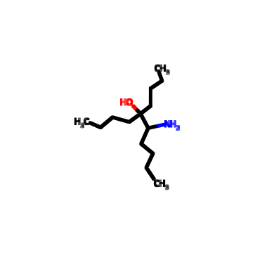 CCCCC(N)C(O)(CCCC)CCCC